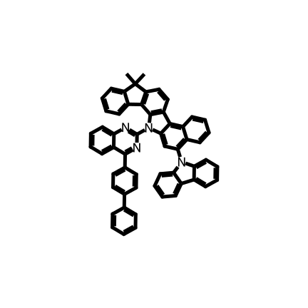 CC1(C)c2ccccc2-c2c1ccc1c3c4ccccc4c(-n4c5ccccc5c5ccccc54)cc3n(-c3nc(-c4ccc(-c5ccccc5)cc4)c4ccccc4n3)c21